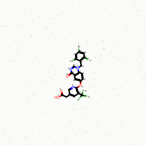 O=C(O)Cc1cnc(Oc2ccc3c(c2)c(=O)ncn3Cc2c(F)cc(F)cc2F)c(C(F)(F)F)c1